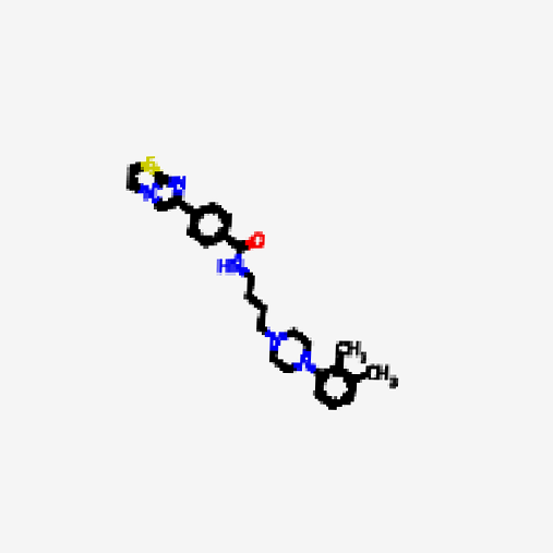 Cc1cccc(N2CCN(CCCCNC(=O)c3ccc(-c4cn5ccsc5n4)cc3)CC2)c1C